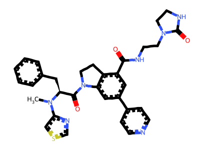 CN(c1cscn1)[C@@H](Cc1ccccc1)C(=O)N1CCc2c(C(=O)NCCN3CCNC3=O)cc(-c3ccncc3)cc21